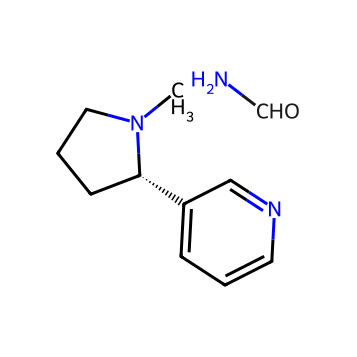 CN1CCC[C@H]1c1cccnc1.NC=O